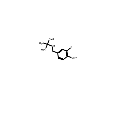 COc1ccc(CNC(C)(OC)OC)cc1F